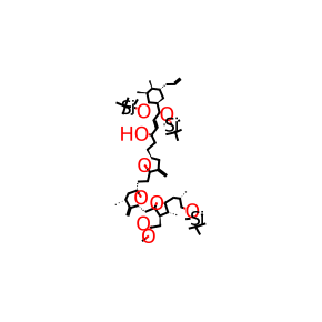 C=CC[C@@H]1C[C@@H]([C@H](/C=C/C(O)CC[C@H]2CC(=C)C(CC[C@H]3C[C@@H](C)C(=C)[C@@H](CC4OC(C[C@H](C)CO[Si](C)(C)C(C)(C)C)[C@H](C)[C@H]4CC(=O)OC)O3)O2)O[Si](C)(C)C(C)(C)C)[C@@H](O[Si](C)(C)C(C)(C)C)[C@@H](C)[C@H]1C